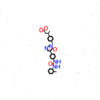 COC(=O)CC(C)c1ccc(Cn2cncc(-c3ccc(NC(=O)Nc4ccccc4C)cc3)c2=O)cc1